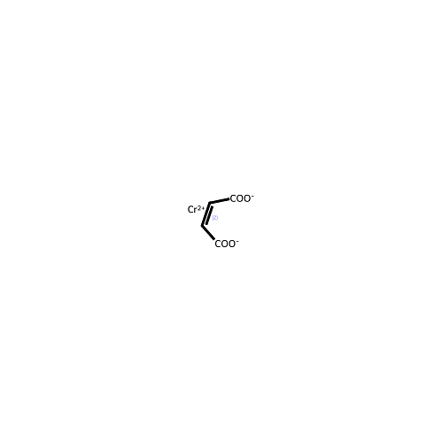 O=C([O-])/C=C\C(=O)[O-].[Cr+2]